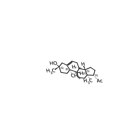 CC(=O)[C@H]1CC[C@H]2[C@@H]3CC=C4C[C@@](C)(O)CC[C@]4(C)[C@H]3CC[C@]12C